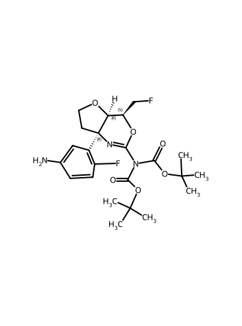 CC(C)(C)OC(=O)N(C(=O)OC(C)(C)C)C1=N[C@@]2(c3cc(N)ccc3F)CCO[C@H]2[C@@H](CF)O1